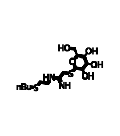 CCCCSCCNC(=N)CSC1O[C@@H](CO)[C@H](O)[C@@H](O)[C@H]1O